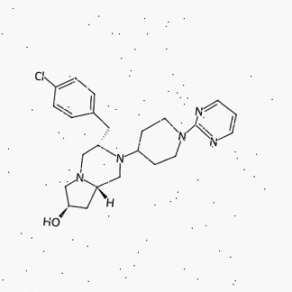 O[C@@H]1C[C@H]2CN(C3CCN(c4ncccn4)CC3)[C@@H](Cc3ccc(Cl)cc3)CN2C1